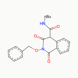 CCCCNC(=O)C1C(=O)N(OCc2ccccc2)C(=O)c2ccccc21